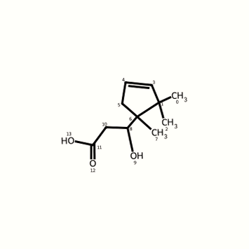 CC1(C)C=CCC1(C)C(O)CC(=O)O